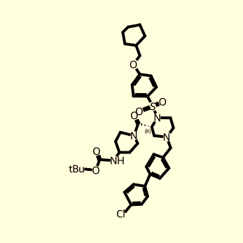 CC(C)(C)OC(=O)NC1CCN(C(=O)[C@H]2CN(Cc3ccc(-c4ccc(Cl)cc4)cc3)CCN2S(=O)(=O)c2ccc(OCC3CCCCC3)cc2)CC1